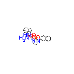 NC(=O)C12CC3CC(C1)C(NC(=O)CN1CCCN(c4ccc5ccccc5c4)S1(=O)=O)C(C3)C2